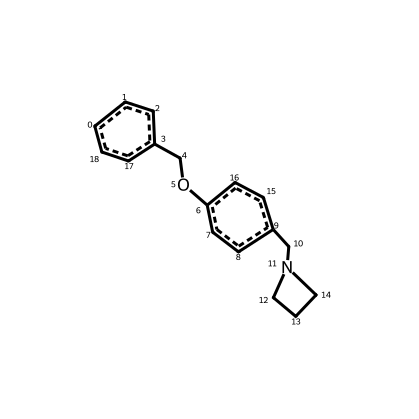 c1ccc(COc2ccc(CN3CCC3)cc2)cc1